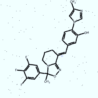 Cc1cn(-c2ccc(/C=C3\CCCN4C3=NOC4(C)c3cc(F)c(F)c(F)c3)cc2O)cn1